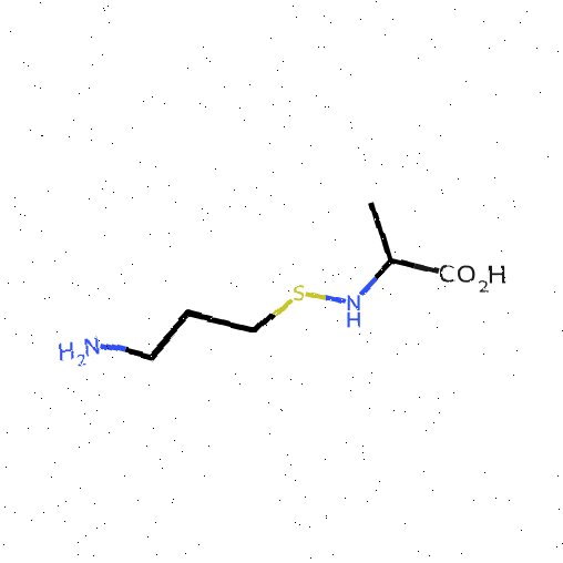 CC(NSCCCN)C(=O)O